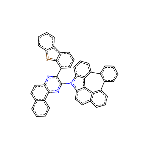 c1ccc2c(c1)-c1cccc3ccc4c(c13)c1c-2cccc1n4-c1nc2c(ccc3ccccc32)nc1-c1cccc2c1sc1ccccc12